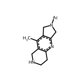 CC(=O)N1Cc2nc3c(c(C)c2C1)CNCC3